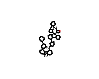 c1ccc(-c2cccc(N(c3cccc(-c4cccc5c4-c4ccccc4C54c5ccccc5-n5c6ccccc6c6cccc4c65)c3)c3cccc4oc5ccccc5c34)c2)cc1